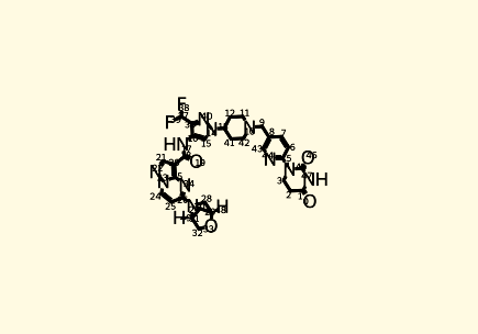 O=C1CCN(c2ccc(CN3CCC(n4cc(NC(=O)c5cnn6ccc(N7C[C@H]8C[C@@H]7CO8)nc56)c(C(F)F)n4)CC3)cn2)C(=O)N1